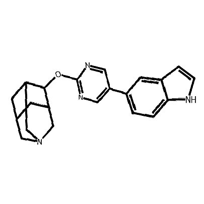 c1cc2cc(-c3cnc(OC4C5CC6CC4CN(C6)C5)nc3)ccc2[nH]1